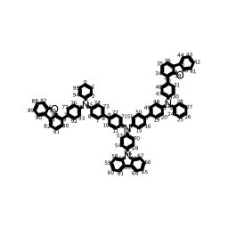 c1ccc(N(c2ccc(-c3ccc(N(c4ccc(-c5ccc(N(c6ccccc6)c6ccc(-c7cccc8c7oc7ccccc78)cc6)cc5)cc4)c4ccc(-n5c6ccccc6c6ccccc65)cc4)cc3)cc2)c2ccc(-c3cccc4c3oc3ccccc34)cc2)cc1